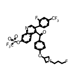 O=C(c1ccc(OC2CN(CCCF)C2)cc1)c1c(-c2ccc(C(F)(F)F)cc2F)cnc2cc(OS(=O)(=O)C(F)(F)F)ccc12